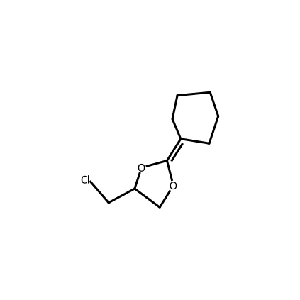 ClCC1COC(=C2CCCCC2)O1